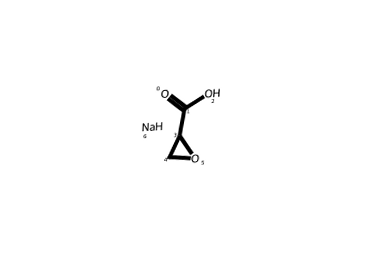 O=C(O)C1CO1.[NaH]